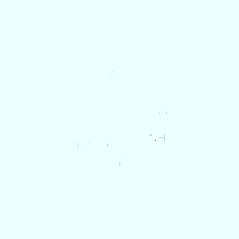 CCOC(=O)c1c[nH]c(C(=O)c2ccc(Cl)cc2)c1